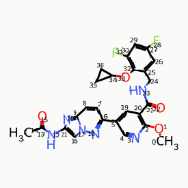 COc1ncc(-c2ccc3nc(NC(C)=O)cn3n2)cc1C(=O)NCc1cc(F)cc(F)c1OC1CC1